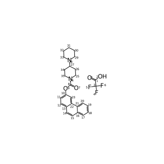 O=C(O)C(F)(F)F.O=C(Oc1ccc2ccc3ccccc3c2c1)N1CCC(N2CCCCC2)CC1